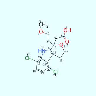 COCCC1(CC(=O)O)OCCc2c1[nH]c1c(Cl)ccc(Cl)c21